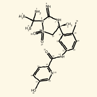 BC(B)(B)N1C(=N)N[C@](C)(c2cc(NC(=O)c3ccc(O)cn3)ccc2F)CS1(=O)=O